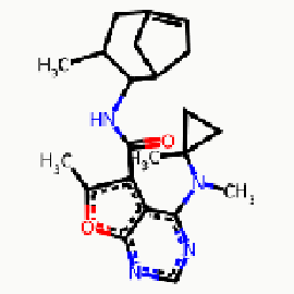 Cc1oc2ncnc(N(C)C3(C)CC3)c2c1C(=O)NC1C(C)CC2=CCC1C2